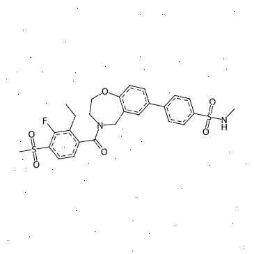 CCc1c(C(=O)N2CCOc3ccc(-c4ccc(S(=O)(=O)NC)cc4)cc3C2)ccc(S(C)(=O)=O)c1F